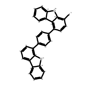 Ic1ccc(-c2ccc(-c3cccc4c3oc3ccccc34)cc2)c2c1oc1ccccc12